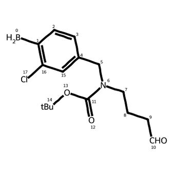 Bc1ccc(CN(CCCC=O)C(=O)OC(C)(C)C)cc1Cl